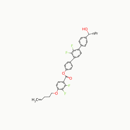 C=CCCCOc1ccc(C(=O)Oc2ccc(-c3ccc(-c4ccc(C(O)CCC)cc4)c(F)c3F)cc2)c(F)c1F